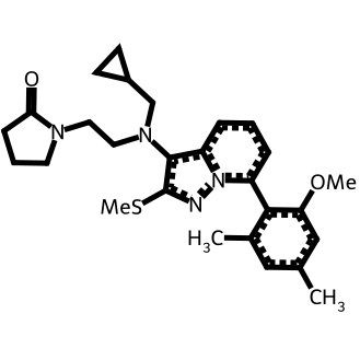 COc1cc(C)cc(C)c1-c1cccc2c(N(CCN3CCCC3=O)CC3CC3)c(SC)nn12